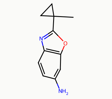 CC1(c2nc3ccc(N)cc3o2)CC1